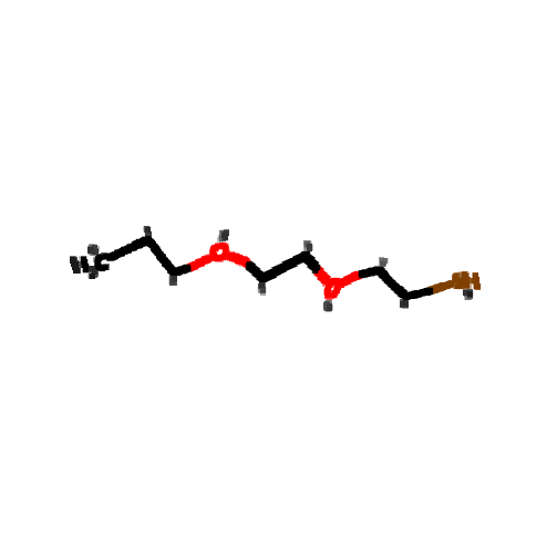 CCCOCCOCCS